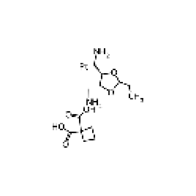 CCC1O[C@H](CN)[C@@H](CN)O1.O=C(O)C1(C(=O)O)CCC1.[Pt]